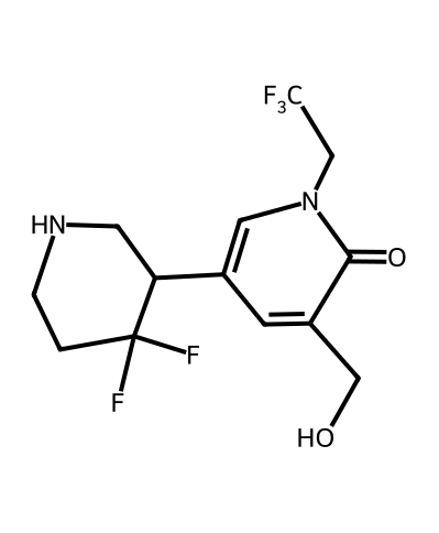 O=c1c(CO)cc(C2CNCCC2(F)F)cn1CC(F)(F)F